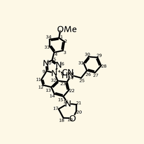 COc1ccc(C2=N[N+]3(C#N)C(=N2)C=Cc2cc(N4CCOCC4)cc(NCc4ccccc4)c23)cc1